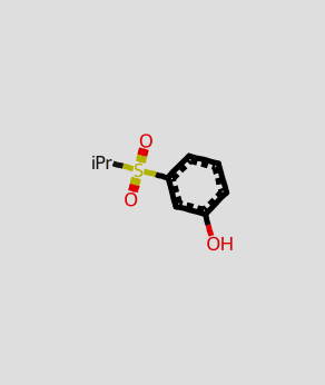 CC(C)S(=O)(=O)c1cccc(O)c1